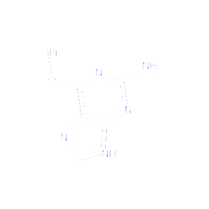 CC(C)Oc1nc(N)nc2[nH]cnc12